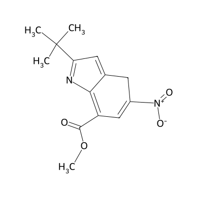 COC(=O)C1=C2N=C(C(C)(C)C)C=C2CC([N+](=O)[O-])=C1